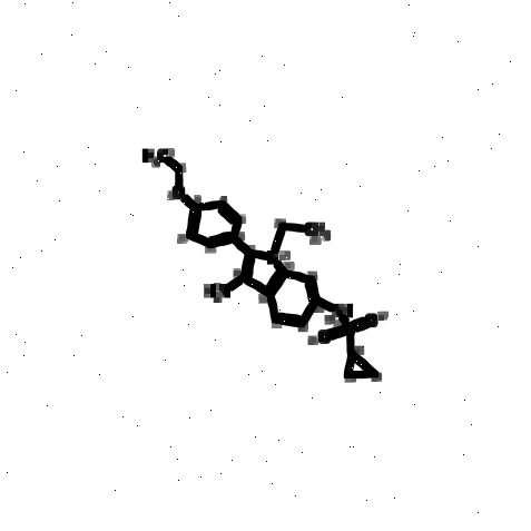 CCOc1ccc(-c2c(N)c3ccc(NS(=O)(=O)C4CC4)cc3n2CC)cc1